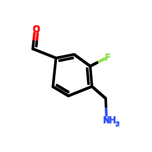 NCc1ccc(C=O)cc1F